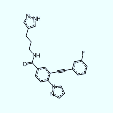 O=C(NCCCc1cn[nH]c1)c1ccc(-n2cccn2)c(C#Cc2cccc(F)c2)c1